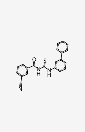 N#Cc1cccc(C(=O)NC(=S)Nc2cccc(-c3ccccc3)c2)c1